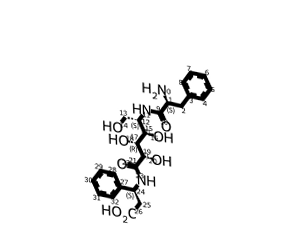 N[C@@H](Cc1ccccc1)C(=O)N[C@@H](CO)[C@@H](O)[C@@H](O)[C@H](O)C(=O)N[C@@H](CC(=O)O)c1ccccc1